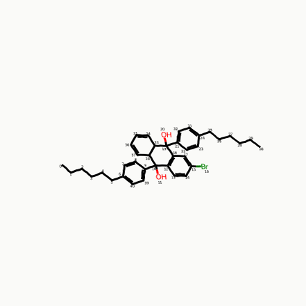 CCCCCCc1ccc(C2(O)c3ccc(Br)cc3C(O)(c3ccc(CCCCCC)cc3)C3C=CC=CC32)cc1